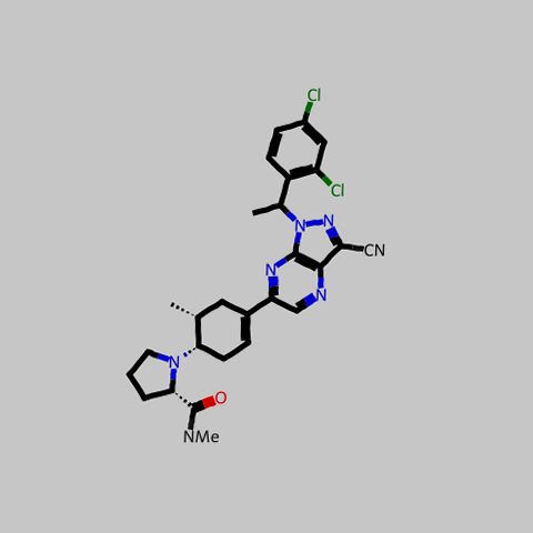 CNC(=O)[C@@H]1CCCN1[C@H]1CC=C(c2cnc3c(C#N)nn(C(C)c4ccc(Cl)cc4Cl)c3n2)C[C@H]1C